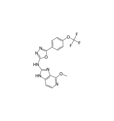 COc1nccc2[nH]c(Nc3nnc(-c4ccc(OC(F)(F)F)cc4)o3)nc12